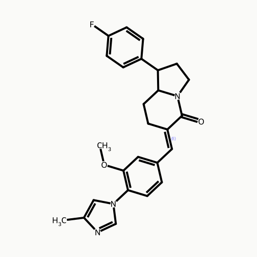 COc1cc(/C=C2\CCC3C(c4ccc(F)cc4)CCN3C2=O)ccc1-n1cnc(C)c1